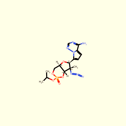 CC(C)OP1(=O)OC[C@H]2O[C@@H](c3ccc4c(N)ncnn34)[C@](C)(N=[N+]=[N-])[C@@H]2O1